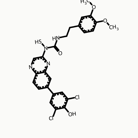 COc1ccc(CCNC(=O)N(S)c2cnc3ccc(-c4cc(Cl)c(O)c(Cl)c4)cc3n2)cc1OC